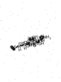 CC(C)(COP(=O)(O)OP(=O)(O)OC[C@H]1O[C@@H](n2cnc3c(N)ncnc32)[C@H](O)[C@@H]1OP(=O)(O)O)[C@@H](O)C(=O)NCCC(=O)NCCSC12C3C4C5C3C1C5C42